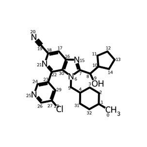 CC1CCC(Cn2c(C(O)C3CCCC3)nc3cc(C#N)nc(-c4cncc(Cl)c4)c32)CC1